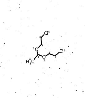 C[C](OCCCl)OCCCl